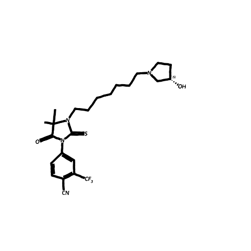 CC1(C)C(=O)N(c2ccc(C#N)c(C(F)(F)F)c2)C(=S)N1CCCCCCCN1CC[C@H](O)C1